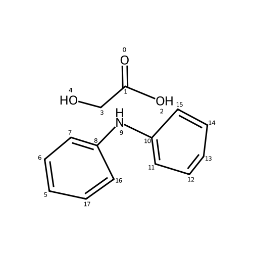 O=C(O)CO.c1ccc(Nc2ccccc2)cc1